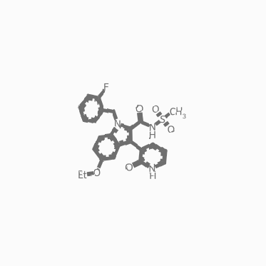 CCOc1ccc2c(c1)c(-c1ccc[nH]c1=O)c(C(=O)NS(C)(=O)=O)n2Cc1ccccc1F